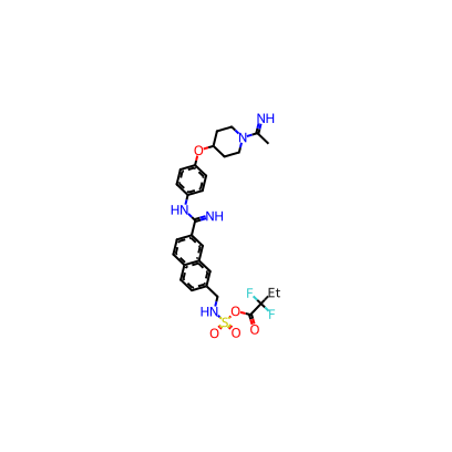 CCC(F)(F)C(=O)OS(=O)(=O)NCc1ccc2ccc(C(=N)Nc3ccc(OC4CCN(C(C)=N)CC4)cc3)cc2c1